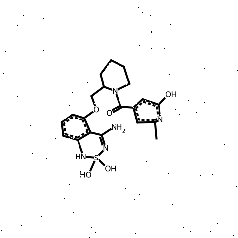 Cc1cc(C(=O)N2CCCCC2COc2cccc3c2C(N)=NS(O)(O)N3)cc(O)n1